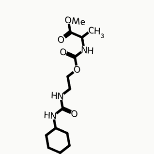 COC(=O)C(C)NC(=O)OCCNC(=O)NC1CCCCC1